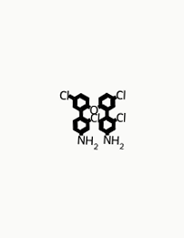 Nc1ccc(-c2cc(Cl)ccc2Oc2ccc(Cl)cc2-c2ccc(N)cc2Cl)c(Cl)c1